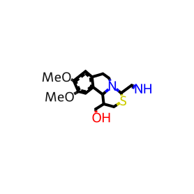 COc1cc2c(cc1OC)C1C(CO)CSC(C=N)N1CC2